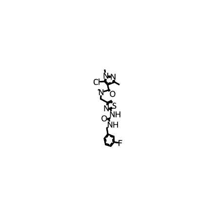 Cc1nn(C)c(Cl)c1C(=O)N(C)Cc1csc(NC(=O)NCc2cccc(F)c2)n1